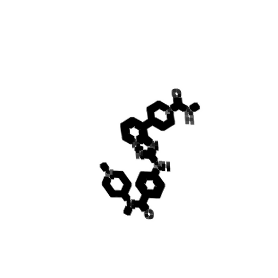 CNC(=O)N1CC=C(c2cccn3nc(Nc4ccc(C(=O)N(C)C5CCN(C)CC5)cc4)nc23)CC1